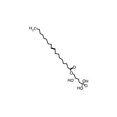 CCCCCCCCC=CCCCCCCCC(=O)OC[C@@H](O)CCP(=O)(O)O